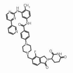 Cc1ccc(NC(=O)c2ccc(N3CCN(Cc4ccc5c(c4F)CN(C4CCC(=O)NC4=O)C5=O)CC3)cc2)cc1Nc1nccc(-c2cccnc2)n1